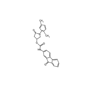 Cc1ccc(C)c(N2CC(OC(=O)Nc3ccc4c(c3)C(=O)c3ccccc3-4)CC2=O)c1